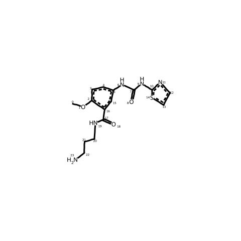 COc1ccc(NC(=O)Nc2nccs2)cc1C(=O)NCCCN